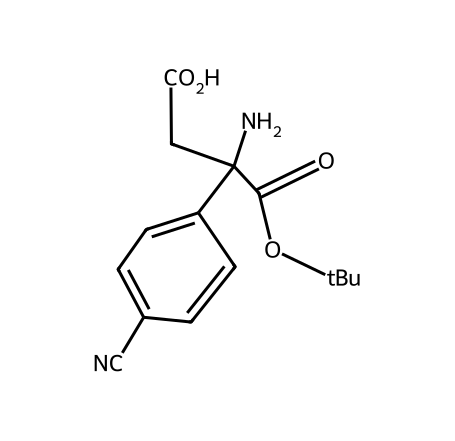 CC(C)(C)OC(=O)C(N)(CC(=O)O)c1ccc(C#N)cc1